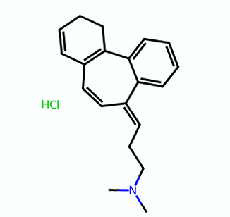 CN(C)CCC=C1C=CC2=C(CCC=C2)c2ccccc21.Cl